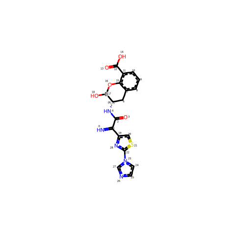 N=C(C(=O)N[C@H]1Cc2cccc(C(=O)O)c2OB1O)c1csc(-n2ccnc2)n1